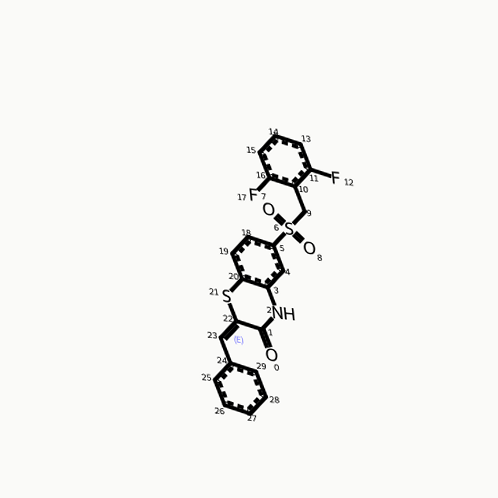 O=C1Nc2cc(S(=O)(=O)Cc3c(F)cccc3F)ccc2S/C1=C/c1ccccc1